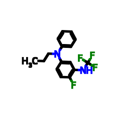 CCCN(c1ccccc1)c1ccc(F)c(NC(F)(F)F)c1